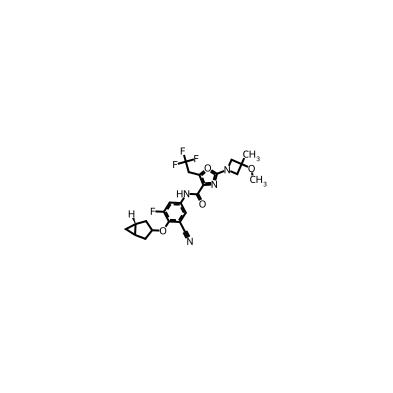 COC1(C)CN(c2nc(C(=O)Nc3cc(F)c(OC4CC5C[C@@H]5C4)c(C#N)c3)c(CC(F)(F)F)o2)C1